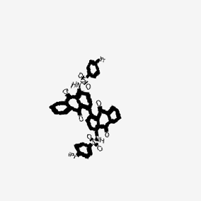 CC(C)c1ccc(S(=O)(=O)Nc2ccc(-c3ccc(NS(=O)(=O)c4ccc(C(C)C)cc4)c4c3C(=O)c3ccccc3C4=O)c3c2C(=O)c2ccccc2C3=O)cc1